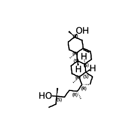 CC[C@](C)(O)CC[C@@H](C)[C@H]1CC[C@H]2[C@@H]3CC=C4C[C@@](C)(O)CC[C@]4(C)[C@H]3CC[C@]12C